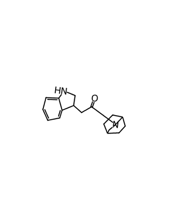 O=C(CC1CNc2ccccc21)N1CC2CCC(CC2)C1